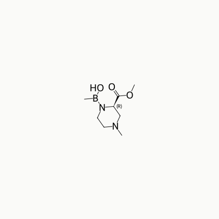 COC(=O)[C@H]1CN(C)CCN1B(C)O